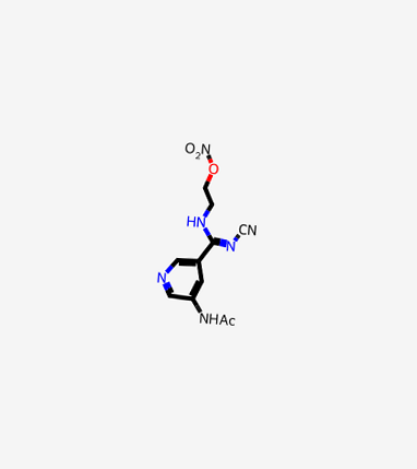 CC(=O)Nc1cncc(C(=NC#N)NCCO[N+](=O)[O-])c1